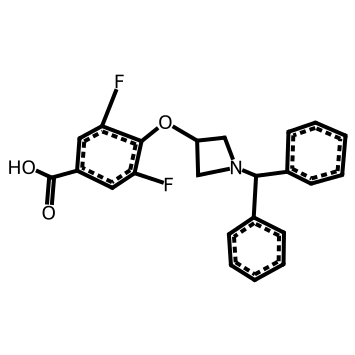 O=C(O)c1cc(F)c(OC2CN(C(c3ccccc3)c3ccccc3)C2)c(F)c1